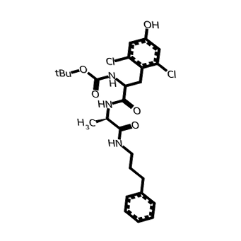 C[C@@H](NC(=O)C(Cc1c(Cl)cc(O)cc1Cl)NC(=O)OC(C)(C)C)C(=O)NCCCc1ccccc1